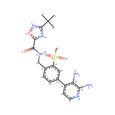 CC(C)(C)c1noc(C(=O)NCc2ccc(-c3ccnc(N)c3N)cc2S(C)(=O)=O)n1